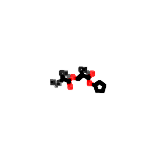 C=C(C)C(=O)OC=C(C)C(=O)OC1CCCC1